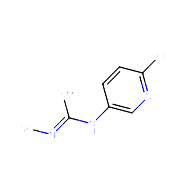 CS/C(=N\C#N)Nc1ccc(C(F)(F)F)nc1